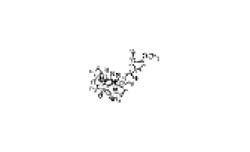 COc1ccc(-c2ccc(-c3cnn4c(N)c(C(C)=O)c([C@@H]5C[C@H]6CC[C@@H](C5)N6C(=O)c5nnc[nH]5)nc34)cn2)cc1C#N